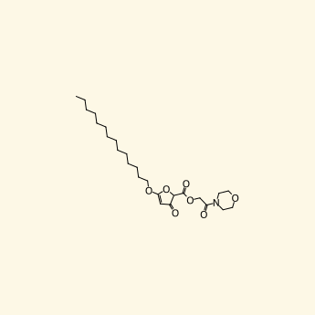 CCCCCCCCCCCCCCOC1=CC(=O)C(C(=O)OCC(=O)N2CCOCC2)O1